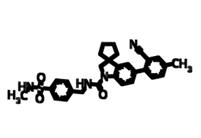 CNS(=O)(=O)c1ccc(CNC(=O)N2CC3(CCCC3)c3cc(-c4ccc(C)cc4C#N)ccc32)cc1